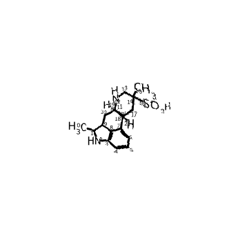 CC1Nc2cccc3c2C1C[C@H]1NCC(C)(S(=O)(=O)O)C[C@H]31